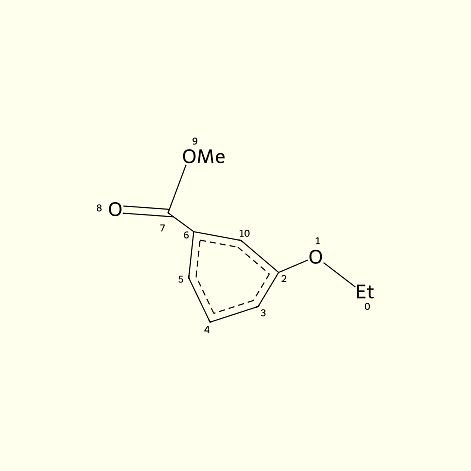 [CH2]COc1cccc(C(=O)OC)c1